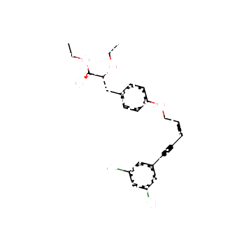 CCOC(=O)C(Cc1ccc(OC/C=C\C#Cc2cc(Cl)cc(Cl)c2)cc1)OCC